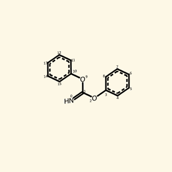 N=C(Oc1ccccc1)Oc1ccccc1